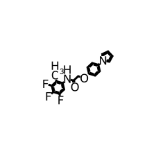 Cc1c(NC(=O)COc2ccc(-n3cccc3)cc2)cc(F)c(F)c1F